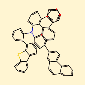 c1ccc(-c2ccccc2-c2c(-c3ccccc3)cccc2N(c2ccc(-c3ccc4c(ccc5ccccc54)c3)cc2)c2ccccc2-c2cccc3c2sc2ccccc23)cc1